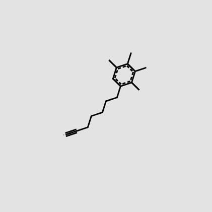 [C]#CCCCCCc1cc(C)c(C)c(C)c1C